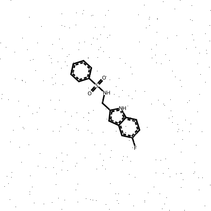 O=S(=O)(NCc1cc2cc(F)ccc2[nH]1)c1ccccc1